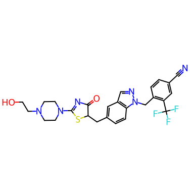 N#Cc1ccc(Cn2ncc3cc(CC4SC(N5CCN(CCO)CC5)=NC4=O)ccc32)c(C(F)(F)F)c1